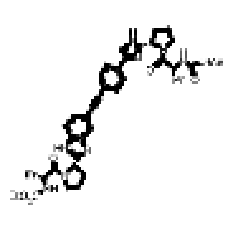 CCOC(=O)N[C@H](C(=O)N1CCC[C@H]1c1nc2cc(C#Cc3ccc(-c4c[nH]c([C@@H]5CCCN5C(=O)[C@@H](NC(=O)OC)C(C)C)n4)cc3)ccc2[nH]1)C(C)C